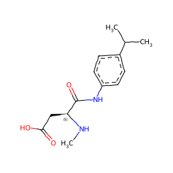 CN[C@@H](CC(=O)O)C(=O)Nc1ccc(C(C)C)cc1